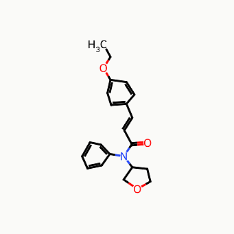 CCOc1ccc(/C=C/C(=O)N(c2ccccc2)C2CCOC2)cc1